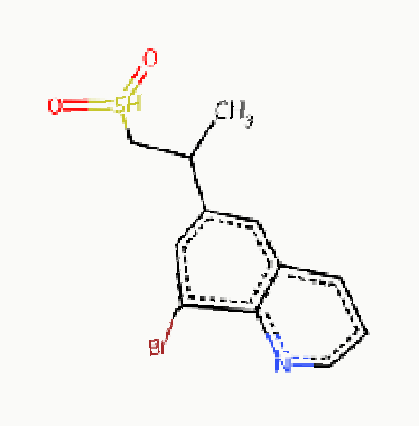 CC(C[SH](=O)=O)c1cc(Br)c2ncccc2c1